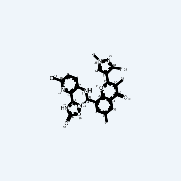 Cc1cc([C@@H](C)Nc2ccc(Cl)nc2-c2noc(=O)[nH]2)c2oc(-c3cn(C)nc3F)c(C)c(=O)c2c1